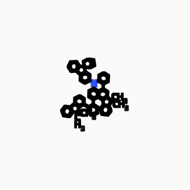 CC1(C)c2ccccc2-c2ccc(-c3ccccc3N(c3ccc(-c4ccccc4-c4cccc5c4C(C)(C)c4ccccc4-5)cc3)c3ccc4c(c3)C3(CC5CCC3C5)c3ccccc3-4)cc21